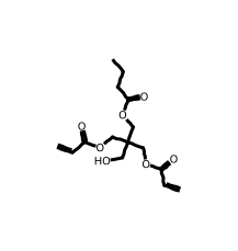 C=CC(=O)OCC(CO)(COC(=O)C=C)COC(=O)CCC